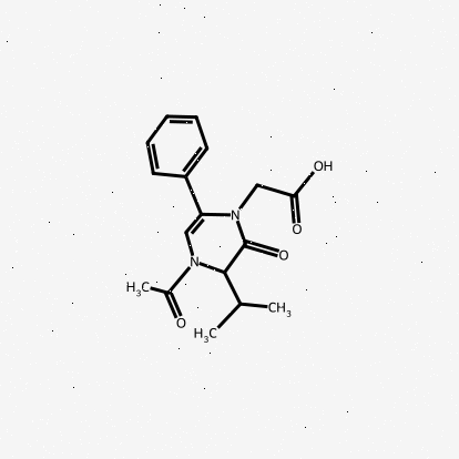 CC(=O)N1C=C(c2ccccc2)N(CC(=O)O)C(=O)C1C(C)C